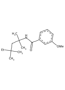 CCC(C)(C)CC(C)(C)NC(=O)c1cccc(OC)c1